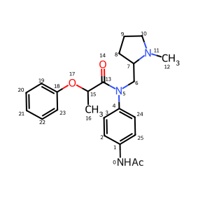 CC(=O)Nc1ccc(N(CC2CCCN2C)C(=O)C(C)Oc2ccccc2)cc1